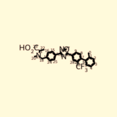 Cc1ccccc1-c1ccc(-c2nc(-c3ccc(CN(C)[C@H](C)C(=O)O)cc3)no2)cc1C(F)(F)F